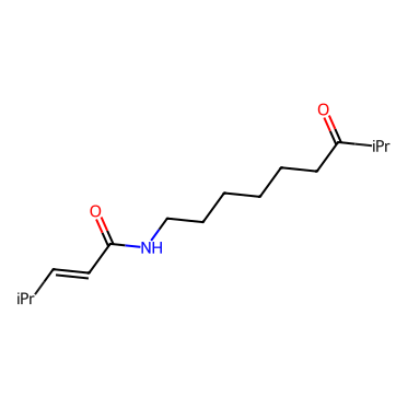 CC(C)/C=C/C(=O)NCCCCCCC(=O)C(C)C